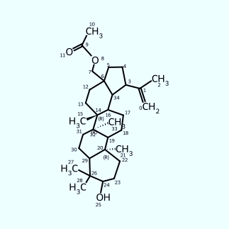 C=C(C)C1CCC2(COC(C)=O)CC[C@]3(C)C(CCC4[C@@]5(C)CCC(O)C(C)(C)C5CC[C@]43C)C12